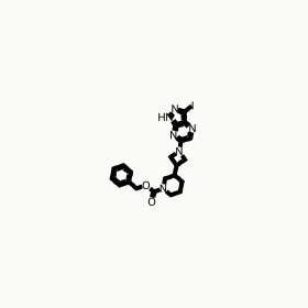 O=C(OCc1ccccc1)N1CCCC(C2CN(c3cnc4c(I)n[nH]c4n3)C2)C1